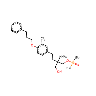 CC(=O)NC(CO)(CCc1ccc(OCCCc2ccccc2)c(C(F)(F)F)c1)COP(=O)(C(C)(C)C)C(C)(C)C